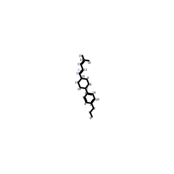 CCCc1ccc(C2CCC(/C=C/C=C(C)C)CC2)cc1